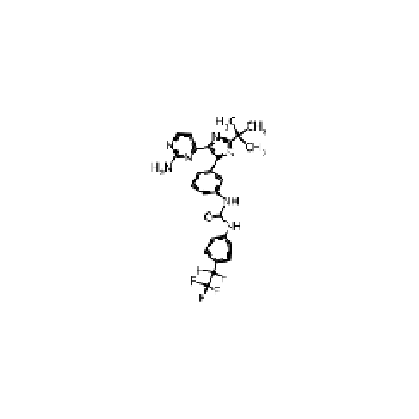 CC(C)(C)c1nc(-c2ccnc(N)n2)c(-c2cccc(NC(=O)Nc3ccc(C(F)(F)C(F)(F)F)cc3)c2)s1